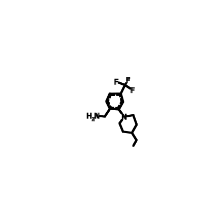 CCC1CCN(c2cc(C(F)(F)F)ccc2CN)CC1